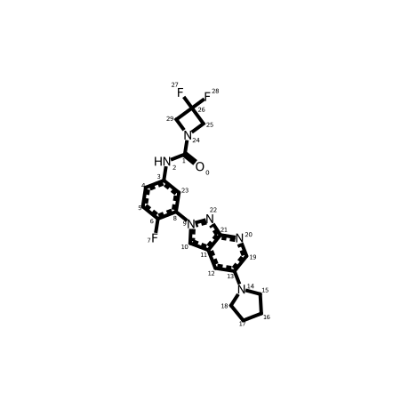 O=C(Nc1ccc(F)c(-n2cc3cc(N4CCCC4)cnc3n2)c1)N1CC(F)(F)C1